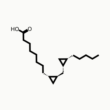 CCCCC[C@H]1C[C@H]1C[C@H]1C[C@@H]1CCCCCCCC(=O)O